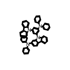 c1ccc(N(c2ccccc2)c2cc(-n3c4ccccc4c4ccccc43)cc(-n3c4ccccc4c4ccc(N(c5ccccc5)c5ccccc5)cc43)c2)cc1